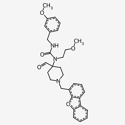 COCCN(C(=O)NCc1cccc(OC)c1)C1(C=O)CCN(Cc2cccc3c2oc2ccccc23)CC1